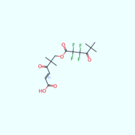 CC(C)(C)C(=O)C(F)(F)C(F)(F)C(=O)OCC(C)(C)C(=O)/C=C/C(=O)O